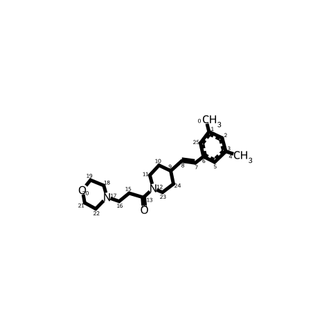 Cc1cc(C)cc(/C=C/C2CCN(C(=O)CCN3CCOCC3)CC2)c1